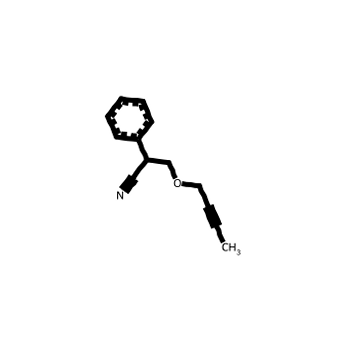 CC#CCOCC(C#N)c1ccccc1